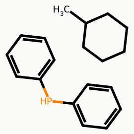 CC1CCCCC1.c1ccc(Pc2ccccc2)cc1